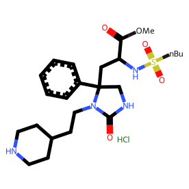 CCCCS(=O)(=O)NC(CC1(c2ccccc2)CNC(=O)N1CCC1CCNCC1)C(=O)OC.Cl